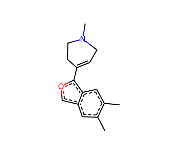 Cc1cc2coc(C3=CCN(C)CC3)c2cc1C